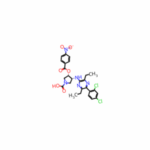 CCc1nc(-c2ccc(Cl)cc2Cl)c(CC)nc1N[C@@H]1CN(C(=O)O)C[C@@H]1OC(=O)c1ccc([N+](=O)[O-])cc1